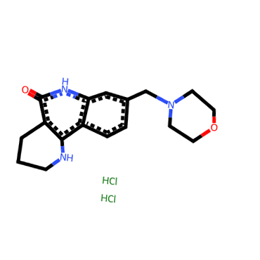 Cl.Cl.O=c1[nH]c2cc(CN3CCOCC3)ccc2c2c1CCCN2